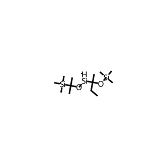 CCC(C)(O[Si](C)(C)C)[SiH](C)OC(C)(C)[Si](C)(C)C